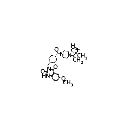 C=C(N1CCN(C(=O)[C@H]2CC[C@H](Cn3c(=O)[nH]c4ccc(OC)cc4c3=O)CC2)CC1)C(C)(C)F